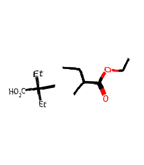 CCC(C)(CC)C(=O)O.CCOC(=O)C(C)CC